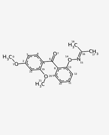 COc1ccc(C(=O)c2ccccc2ON=C(C)C)c(OC)c1